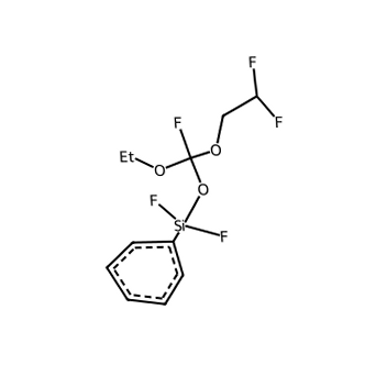 CCOC(F)(OCC(F)F)O[Si](F)(F)c1ccccc1